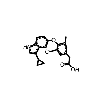 Cc1cc(CC(=O)O)cc(Cl)c1Oc1ccc2[nH]cc(C3CC3)c2c1